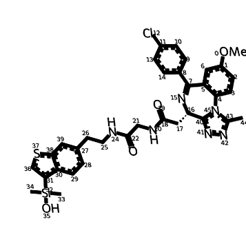 COc1ccc2c(c1)C(c1ccc(Cl)cc1)=N[C@@H](CC(=O)NCC(=O)NCCc1ccc3c([Si](C)(C)O)csc3c1)c1nnc(C)n1-2